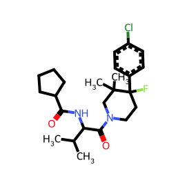 CC(C)C(NC(=O)C1CCCC1)C(=O)N1CCC(F)(c2ccc(Cl)cc2)C(C)(C)C1